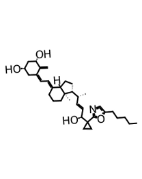 C=C1/C(=C\C=C2/CCC[C@]3(C)[C@@H]([C@H](C)/C=C/[C@H](O)C4(c5ncc(CCCCC)o5)CC4)CC[C@@H]23)C[C@@H](O)C[C@@H]1O